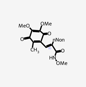 CCCCCCCCC/C(=C\C1=C(C)C(=O)C(OC)=C(OC)C1=O)C(=O)NOC